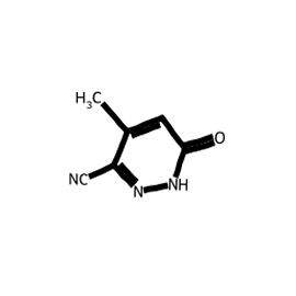 Cc1cc(=O)[nH]nc1C#N